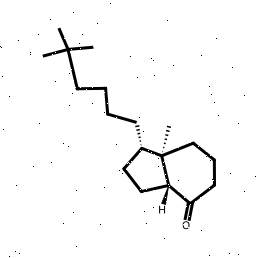 CC(C)(C)CCCC[C@H]1CC[C@H]2C(=O)CCC[C@]12C